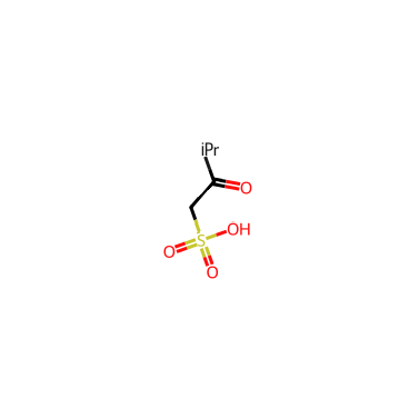 CC(C)C(=O)CS(=O)(=O)O